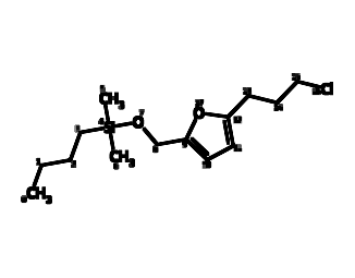 CCCC[Si](C)(C)OCc1ccc(CCCCl)o1